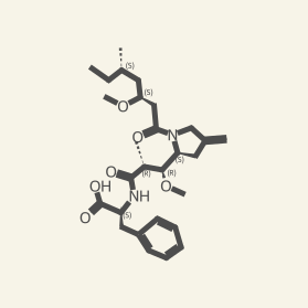 C=C1C[C@@H]([C@H](OC)[C@@H](C)C(=O)N[C@@H](Cc2ccccc2)C(=O)O)N(C(=O)C[C@H](C[C@@H](C)CC)OC)C1